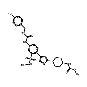 CC(C)OC(=O)N[C@H]1CC[C@H](c2ncc(-c3ccc(NC(=O)NCc4ccc(O)cc4)cc3S(=O)(=O)NC(C)(C)C)s2)CC1